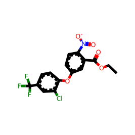 CCOC(=O)c1cc(Oc2ccc(C(F)(F)F)cc2Cl)ccc1[N+](=O)[O-]